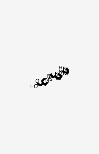 O=C(O)CC1CCN(c2ncc(-c3cccc(Nc4ncccn4)n3)s2)CC1